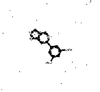 COc1cc(OC)cc(-c2cc3[nH]ncc3cn2)c1